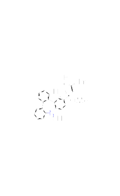 BC(C=C(C)CCC)(OC)c1ccc2c(c1)-c1ccccc1-c1ccccc1N2C